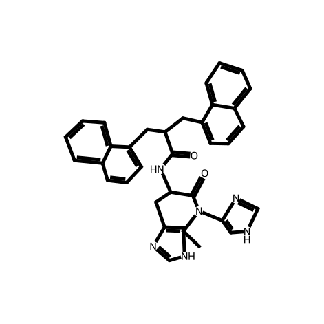 CCN(C(=O)C(Cc1c[nH]cn1)NC(=O)C(Cc1cccc2ccccc12)Cc1cccc2ccccc12)c1c[nH]cn1